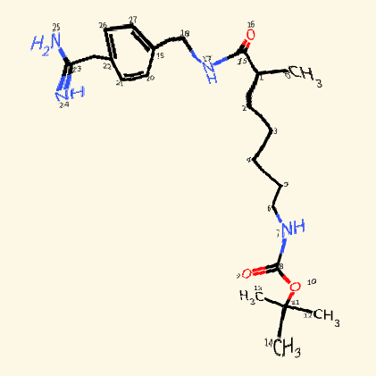 CC(CCCCCNC(=O)OC(C)(C)C)C(=O)NCc1ccc(C(=N)N)cc1